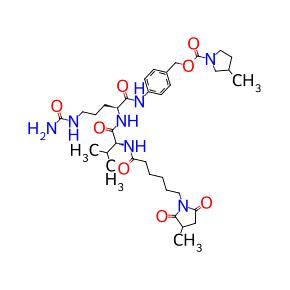 CC1CCN(C(=O)OCc2ccc(NC(=O)[C@H](CCCNC(N)=O)NC(=O)[C@@H](NC(=O)CCCCCN3C(=O)CC(C)C3=O)C(C)C)cc2)C1